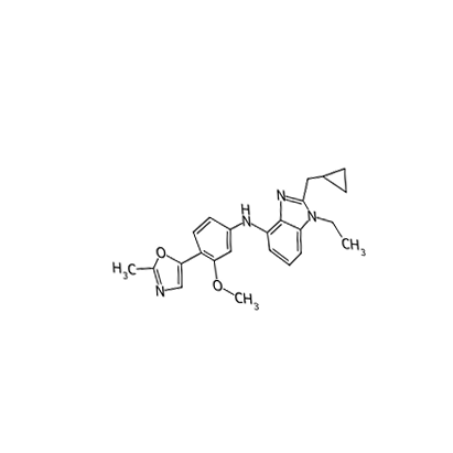 CCn1c(CC2CC2)nc2c(Nc3ccc(-c4cnc(C)o4)c(OC)c3)cccc21